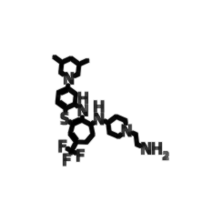 CC1CC(C)CN(C2=CC=C3SC4=C(NC3C2)C(NC2CCN(CCN)CC2)CCC(C(F)(F)F)=C4)C1